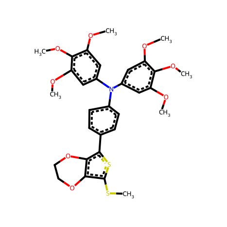 COc1cc(N(c2ccc(-c3sc(SC)c4c3OCCO4)cc2)c2cc(OC)c(OC)c(OC)c2)cc(OC)c1OC